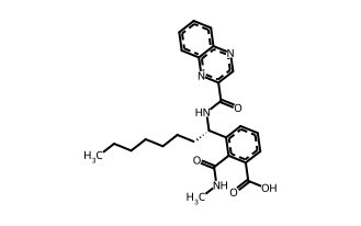 CCCCCCC[C@H](NC(=O)c1cnc2ccccc2n1)c1cccc(C(=O)O)c1C(=O)NC